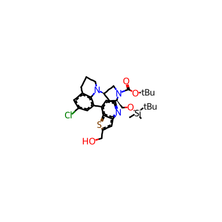 CC(C)(C)OC(=O)N1C[C@H](N2CCCc3cc(Cl)cc(-c4ccnc5cc(CO)sc45)c32)C[C@@H]1CO[Si](C)(C)C(C)(C)C